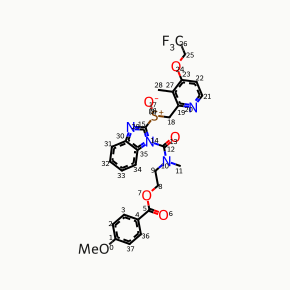 COc1ccc(C(=O)OCCN(C)C(=O)n2c([S@+]([O-])Cc3nccc(OCC(F)(F)F)c3C)nc3ccccc32)cc1